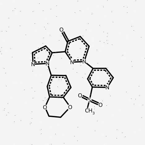 CS(=O)(=O)c1cc(-n2ccc(=O)c(-c3ccnn3-c3ccc4c(c3)OCCO4)n2)ccn1